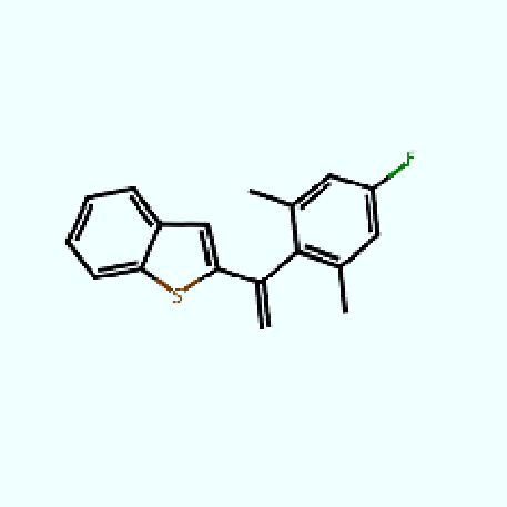 C=C(c1cc2ccccc2s1)c1c(C)cc(F)cc1C